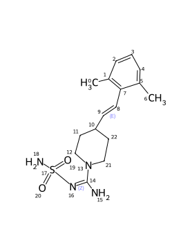 Cc1cccc(C)c1/C=C/C1CCN(/C(N)=N\S(N)(=O)=O)CC1